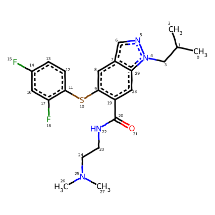 CC(C)Cn1ncc2cc(Sc3ccc(F)cc3F)c(C(=O)NCCN(C)C)cc21